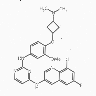 COc1cc(Nc2nccc(Nc3cnc4c(Cl)cc(F)cc4c3)n2)ccc1OC1CC(N(C)C)C1